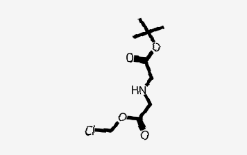 CC(C)(C)OC(=O)CNCC(=O)OCCl